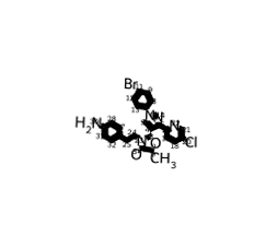 C[C@H]1O[C@@H](c2cn(-c3ccc(Br)cc3)nc2-c2ccc(Cl)cn2)N(CCc2ccc(N)cc2)C1=O